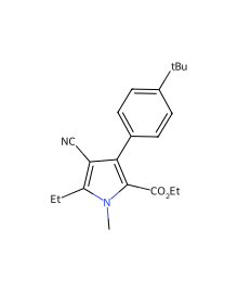 CCOC(=O)c1c(-c2ccc(C(C)(C)C)cc2)c(C#N)c(CC)n1C